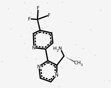 C[C@@H](N)c1nccnc1-c1ccc(C(F)(F)F)cn1